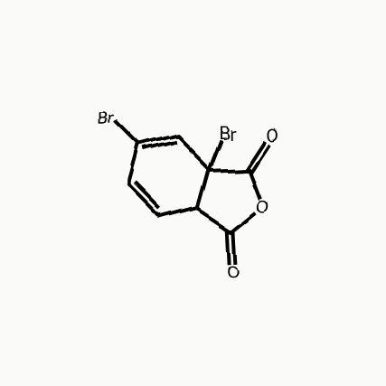 O=C1OC(=O)C2(Br)C=C(Br)C=CC12